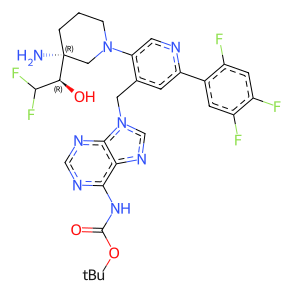 CC(C)(C)OC(=O)Nc1ncnc2c1ncn2Cc1cc(-c2cc(F)c(F)cc2F)ncc1N1CCC[C@](N)([C@@H](O)C(F)F)C1